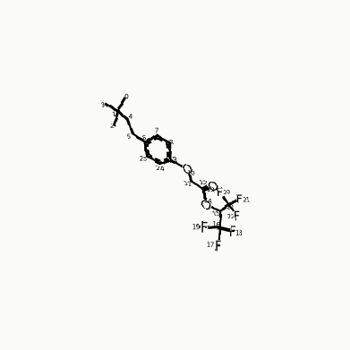 CC(C)(C)CCc1ccc(OCC(=O)OC(C(F)(F)F)C(F)(F)F)cc1